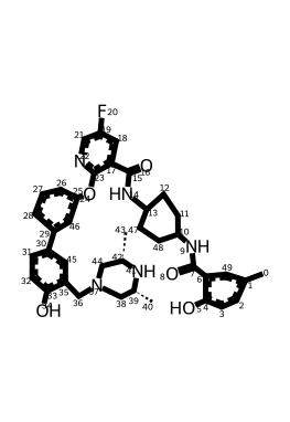 Cc1ccc(O)c(C(=O)NC2CCC(NC(=O)c3cc(F)cnc3Oc3cccc(-c4ccc(O)c(CN5C[C@@H](C)N[C@@H](C)C5)c4)c3)CC2)c1